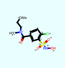 COCCN(C)C(=O)c1ccc(Cl)c(S(=O)(=O)NO)c1